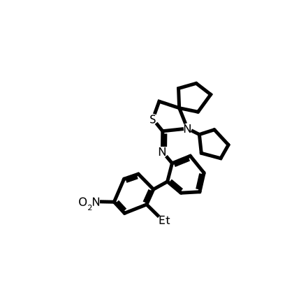 CCc1cc([N+](=O)[O-])ccc1-c1ccccc1/N=C1/SCC2(CCCC2)N1C1CCCC1